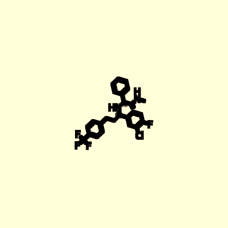 C=C(NC)[C@H](N[C@H](CCc1ccc(C(F)(F)F)cc1)c1ccc(F)c(Cl)c1)c1ccccc1